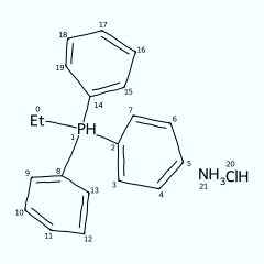 CC[PH](c1ccccc1)(c1ccccc1)c1ccccc1.Cl.N